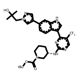 CC(C)(O)Cn1cc(-c2ccc3c(-c4nc(N[C@H]5CCCN(C(=O)OC(C)(C)C)C5)ncc4C(F)(F)F)c[nH]c3c2)cn1